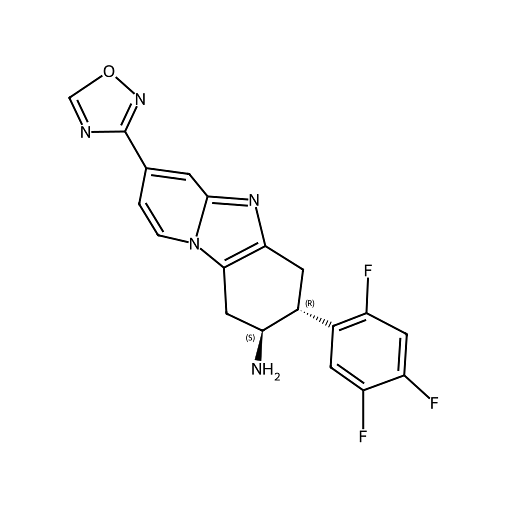 N[C@H]1Cc2c(nc3cc(-c4ncon4)ccn23)C[C@@H]1c1cc(F)c(F)cc1F